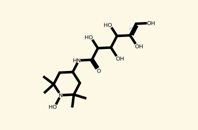 CC1(C)CC(NC(=O)C(O)C(O)C(O)/C(O)=C/O)CC(C)(C)N1O